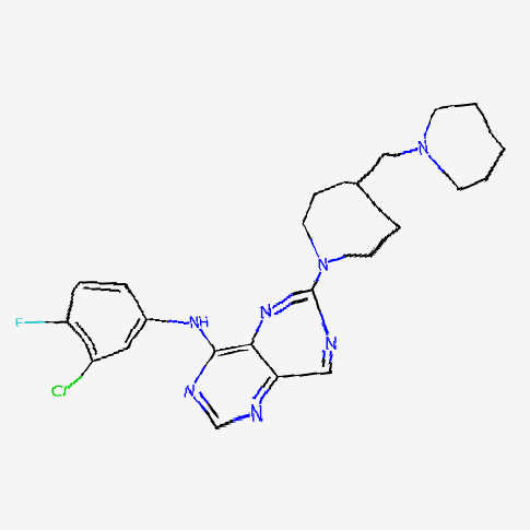 Fc1ccc(Nc2ncnc3cnc(N4CCC(CN5CCCCC5)CC4)nc23)cc1Cl